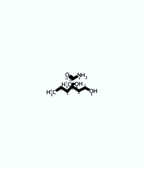 CCCCCCO.CO.NC=O